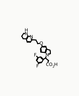 O=C(O)CC(c1cc(F)cc(F)c1)N1CCc2cc(OCCc3ccc4c(n3)NCCC4)ccc21